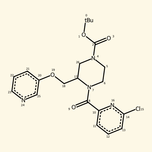 CC(C)(C)OC(=O)N1CCN(C(=O)c2cccc(Cl)n2)C(COc2cccnc2)C1